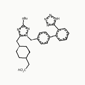 CCCCc1nc(CC2CCC(CC(=O)O)CC2)n(Cc2ccc(-c3ccccc3-c3nnn[nH]3)cc2)n1